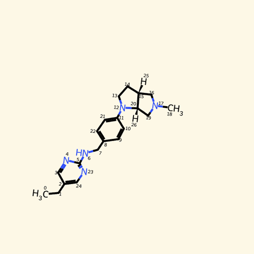 CCc1cnc(NCc2ccc(N3CC[C@@H]4CN(C)C[C@@H]43)cc2)nc1